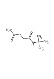 CC(C)(C)NC(=O)CCC(N)=O